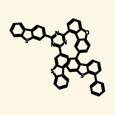 c1ccc(-c2cccc3c2sc2cccc(-c4ccc5oc6cccc(-c7nc(-c8ccc9c(c8)sc8ccccc89)nc(-c8ccc9c(c8)sc8ccccc89)n7)c6c5c4)c23)cc1